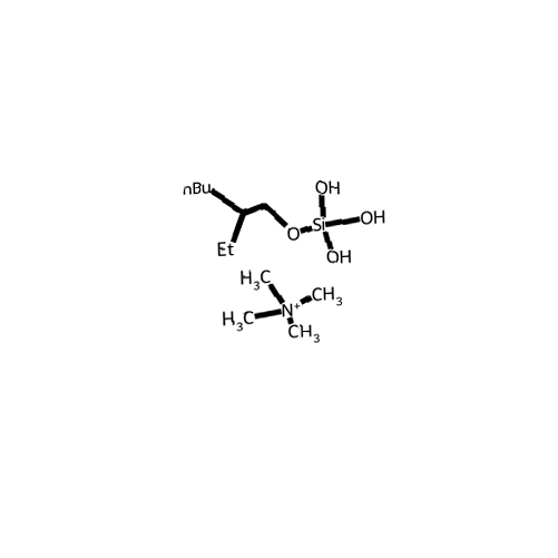 CCCCC(CC)CO[Si](O)(O)O.C[N+](C)(C)C